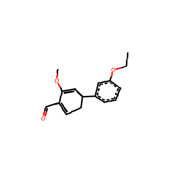 CCOc1cccc(C2C=C(OC)C(C=O)=CC2)c1